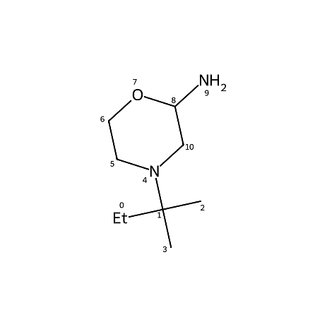 CCC(C)(C)N1CCOC(N)C1